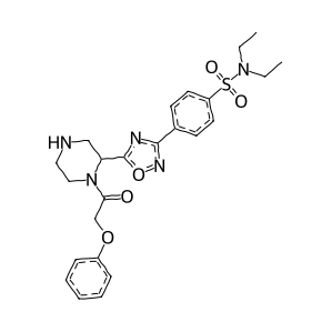 CCN(CC)S(=O)(=O)c1ccc(-c2noc(C3CNCCN3C(=O)COc3ccccc3)n2)cc1